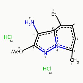 CCc1ccc(C)n2nc(OC)c(N)c12.Cl.Cl